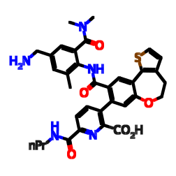 CCCNC(=O)c1ccc(-c2cc3c(cc2C(=O)Nc2c(C)cc(CN)cc2C(=O)N(C)C)-c2sccc2CCO3)c(C(=O)O)n1